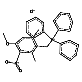 COc1cc(C)c(C[P+](c2ccccc2)(c2ccccc2)c2ccccc2)c(C)c1[N+](=O)[O-].[Cl-]